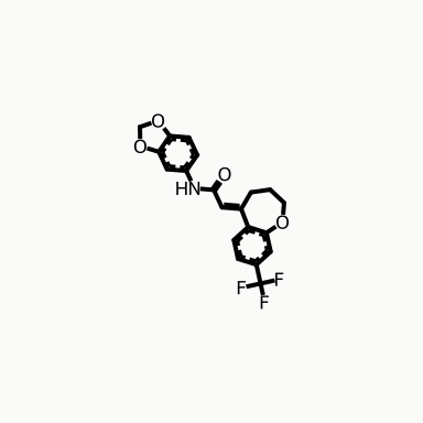 O=C(C=C1CCCOc2cc(C(F)(F)F)ccc21)Nc1ccc2c(c1)OCO2